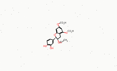 CCCC.O=C(O)Oc1cc(OC(=O)O)c2c(c1)O[C@H](c1ccc(O)c(O)c1)[C@H](O)C2